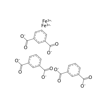 O=C([O-])c1cccc(C(=O)[O-])c1.O=C([O-])c1cccc(C(=O)[O-])c1.O=C([O-])c1cccc(C(=O)[O-])c1.[Fe+3].[Fe+3]